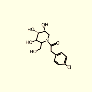 O=C(Cc1ccc(Cl)cc1)N1C[C@H](O)[C@@H](O)[C@H](O)C1CO